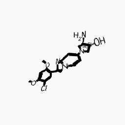 COc1cc(OC)c(-c2cn3ccc(N4C[C@@H](N)[C@H](O)C4)cc3n2)cc1Cl